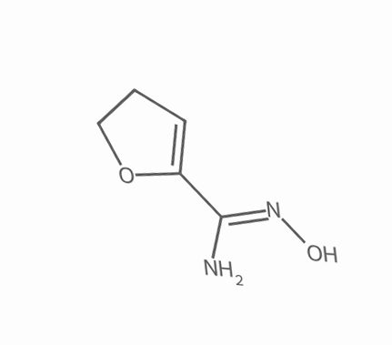 N/C(=N\O)C1=CCCO1